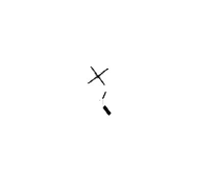 [CH]=NOC(F)(F)F